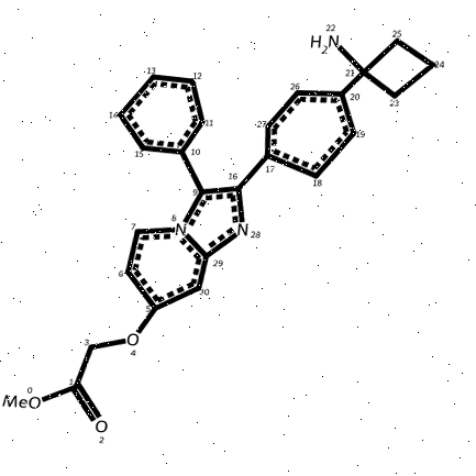 COC(=O)COc1ccn2c(-c3ccccc3)c(-c3ccc(C4(N)CCC4)cc3)nc2c1